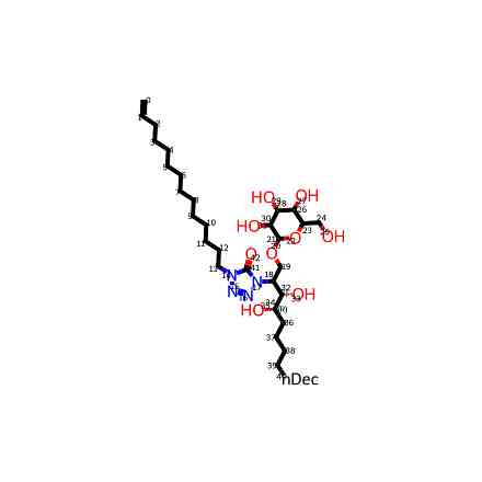 C=CCCCCCCCCCCCCn1nnn(C(COC2OC(CO)C(O)C(O)C2O)[C@H](O)[C@H](O)CCCCCCCCCCCCCC)c1=O